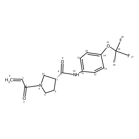 C=CC(=O)N1CC[C@@H](C(=O)Nc2ccc(OC(F)(F)F)cc2)C1